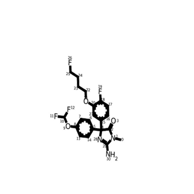 CN1C(=O)C(c2ccc(OC(F)F)cc2)(c2ccc(F)c(OCCCCF)c2)N=C1N